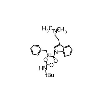 CN(C)CCc1cn(C(=O)[C@H](Cc2ccccc2)OC(=O)NC(C)(C)C)c2ccccc12